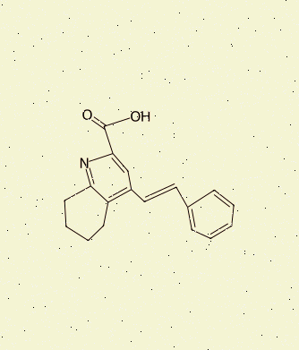 O=C(O)c1cc(C=Cc2ccccc2)c2c(n1)CCCC2